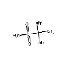 CCCC(C)(CCC)S(N)(=O)=O